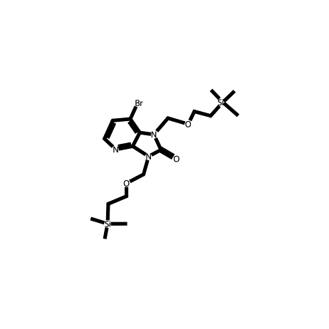 C[Si](C)(C)CCOCn1c(=O)n(COCC[Si](C)(C)C)c2c(Br)ccnc21